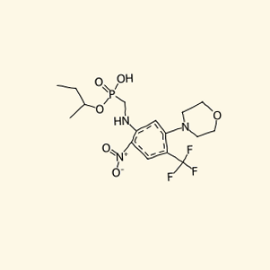 CCC(C)OP(=O)(O)CNc1cc(N2CCOCC2)c(C(F)(F)F)cc1[N+](=O)[O-]